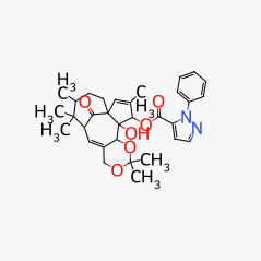 CC1=CC23CCC(C)C(C)(C)C(C=C4COC(C)(C)OC4C2(O)C1OC(=O)c1ccnn1-c1ccccc1)C3=O